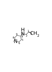 C=CCNC1CC[N]CC1